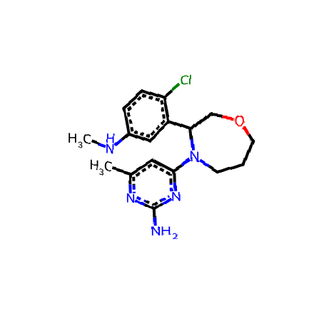 CNc1ccc(Cl)c(C2COCCCN2c2cc(C)nc(N)n2)c1